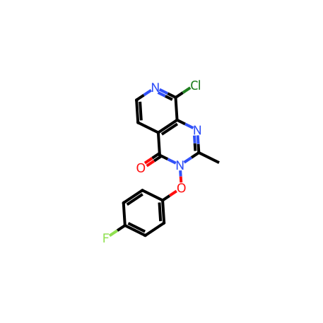 Cc1nc2c(Cl)nccc2c(=O)n1Oc1ccc(F)cc1